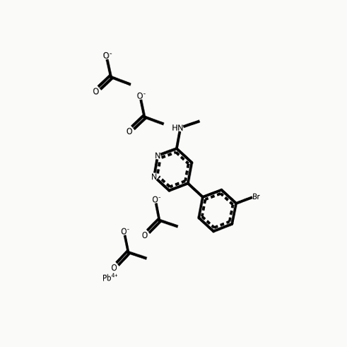 CC(=O)[O-].CC(=O)[O-].CC(=O)[O-].CC(=O)[O-].CNc1cc(-c2cccc(Br)c2)cnn1.[Pb+4]